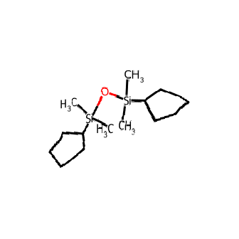 C[Si](C)(O[Si](C)(C)C1CCCC1)C1CCCC1